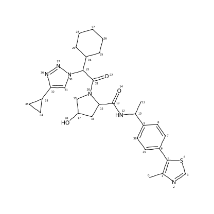 Cc1ncsc1-c1ccc(C(C)NC(=O)C2CC(O)CN2C(=O)C(C2CCCCC2)n2cc(C3CC3)nn2)cc1